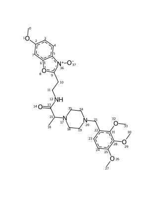 COc1ccc2c(c1)oc(CCNC(=O)C(C)N1CCN(Cc3ccc(OC)c(OC)c3OC)CC1)[n+]2[O-]